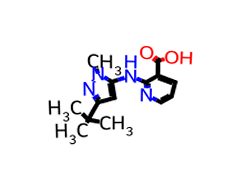 Cn1nc(C(C)(C)C)cc1Nc1ncccc1C(=O)O